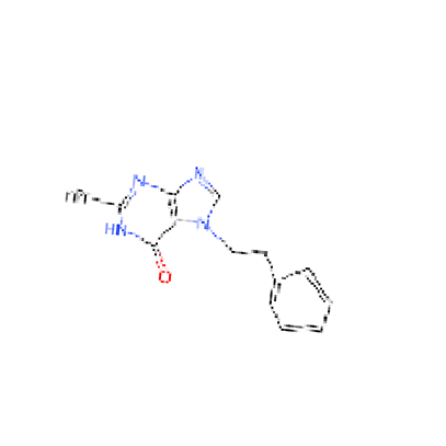 CCCc1nc2ncn(CCc3ccccc3)c2c(=O)[nH]1